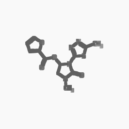 Cc1nnc(N2C(=O)N(C)CC2OC(=O)c2ccco2)s1